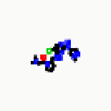 CN(C)CC(=O)N1CCC[C@@H]1CNc1nc(Nc2cnn(C)c2)ncc1Cl